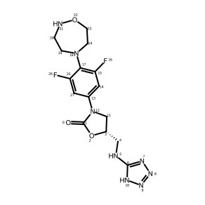 O=C1O[C@@H](CNc2nnn[nH]2)CN1c1cc(F)c(N2CCNOCC2)c(F)c1